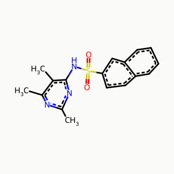 Cc1nc(C)c(C)c(NS(=O)(=O)c2ccc3ccccc3c2)n1